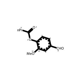 [CH2]CCC(=O)Oc1ccc(C=O)cc1OC